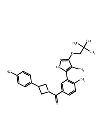 Cc1ccc(C(=O)N2CC(c3ccc(C#N)cc3)C2)cc1-c1[nH]nc(OCC(C)(C)O)c1C